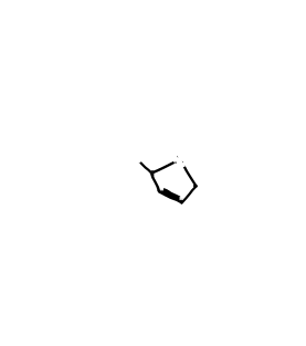 O=CC1C=CCN1